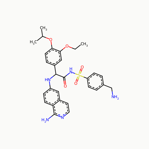 CCOc1cc(C(Nc2ccc3c(N)nccc3c2)C(=O)NS(=O)(=O)c2ccc(CN)cc2)ccc1OC(C)C